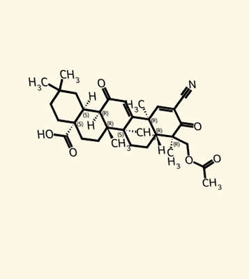 CC(=O)OC[C@]1(C)C(=O)C(C#N)=C[C@]2(C)C3=CC(=O)[C@@H]4[C@@H]5CC(C)(C)CC[C@]5(C(=O)O)CC[C@@]4(C)[C@]3(C)CC[C@H]21